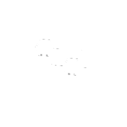 Cc1cccc(Oc2c([N+](=O)[O-])cc(C(F)(F)F)c(Cl)c2[N+](=O)[O-])c1